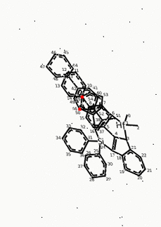 [CH3][Hf]1([CH3])[CH]2C(c3ccc(-c4ccccc4)cc3)=C(c3ccccc32)[Si](c2ccccc2)(c2ccccc2)C2=C(c3ccc(-c4ccccc4)cc3)[CH]1c1ccccc12